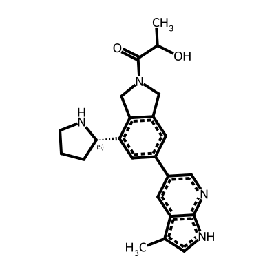 Cc1c[nH]c2ncc(-c3cc4c(c([C@@H]5CCCN5)c3)CN(C(=O)C(C)O)C4)cc12